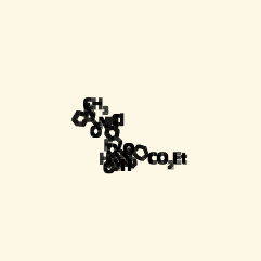 CCOC(=O)C1CCC(OC(C(=O)Cc2cc(Cl)c(NC(=O)c3cn(C)c4ccccc34)cc2F)(N2CCCC2)N2C[C@@H]3C[C@H]2CO3)CC1